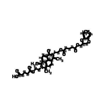 C=C1c2ccc3c(=C)n(CCOC(=O)CCCC(=O)OCC4COC(=C/C)/C(=C\C)O4)c(=O)c4ccc(c2c34)C(=C)N1CCOC(=O)CCCC(=O)O